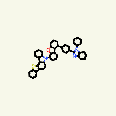 C1=CC2Oc3c(cccc3N3c4ccccc4C4=c5sc6ccccc6c5=CCC43)C2C(c2ccc(-c3nc4ccccc4n3-c3ccccc3)cc2)C1